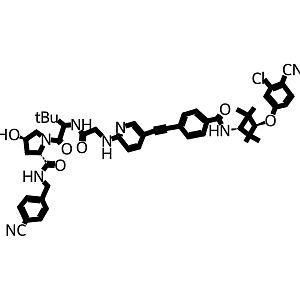 CC(C)(C)C(NC(=O)CNc1ccc(C#Cc2ccc(C(=O)N[C@H]3C(C)(C)[C@H](Oc4ccc(C#N)c(Cl)c4)C3(C)C)cc2)cn1)C(=O)N1C[C@H](O)C[C@H]1C(=O)NCc1ccc(C#N)cc1